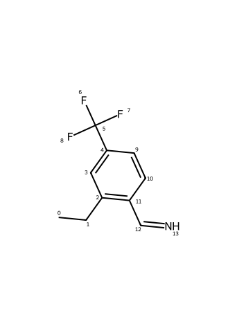 CCc1cc(C(F)(F)F)ccc1C=N